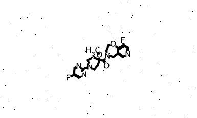 COC1(C(=O)N2CCOc3c(F)cncc3C2)CCN(c2ncc(F)cn2)CC1